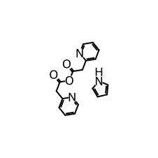 O=C(Cc1ccccn1)OC(=O)Cc1ccccn1.c1cc[nH]c1